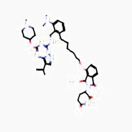 CC(C)c1cnn2c(NCc3c(CCCCCCOc4cccc5c4C(O)N(C4CCC(=O)NC4=O)C5=O)cccc3N(C)C)nc(OC3CCN(C)CC3)nc12